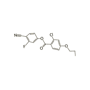 CCCOc1ccc(C(=O)Oc2ccc(C#N)c(F)c2)c(Cl)c1